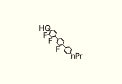 CCCc1ccc(-c2ccc(-c3ccc(O)c(F)c3F)cc2F)cc1